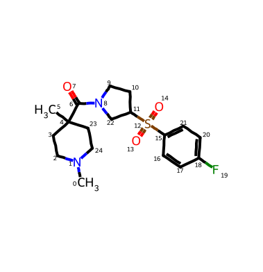 CN1CCC(C)(C(=O)N2CCC(S(=O)(=O)c3ccc(F)cc3)C2)CC1